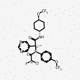 C[C@@](C(=O)N[C@H]1CC[C@H](OC(F)(F)F)CC1)(c1cncnc1)N(C(=O)[C@H](F)Cl)c1ccc(OC(F)(F)F)cc1